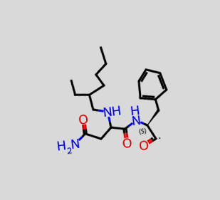 CCCCC(CC)CNC(CC(N)=O)C(=O)N[C@H]([C]=O)Cc1ccccc1